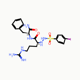 N=C(N)NCCC[C@H](NNS(=O)(=O)c1ccc(I)cc1)C(=O)N[C@@H](Cc1ccccc1)C(N)=O